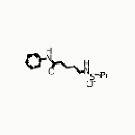 CC(C)[S+]([O-])NCCCCC(=O)Nc1ccccc1